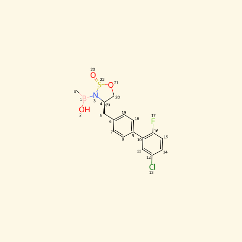 CB(O)N1[C@H](Cc2ccc(-c3cc(Cl)ccc3F)cc2)COS1=O